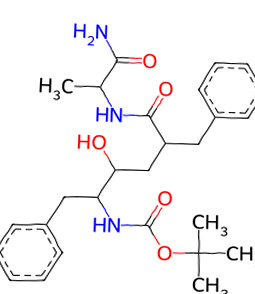 CC(NC(=O)C(Cc1ccccc1)CC(O)C(Cc1ccccc1)NC(=O)OC(C)(C)C)C(N)=O